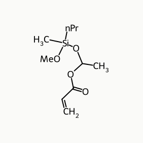 C=CC(=O)OC(C)O[Si](C)(CCC)OC